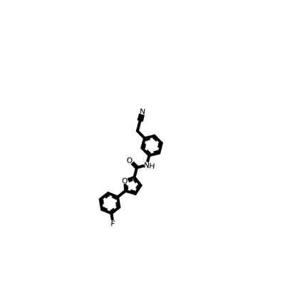 N#CCc1cccc(NC(=O)c2ccc(-c3cccc(F)c3)o2)c1